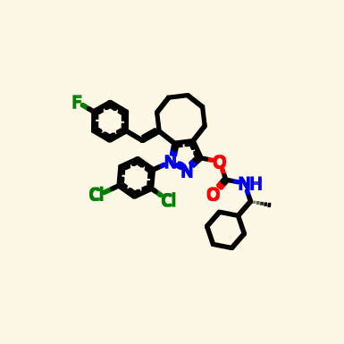 C[C@@H](NC(=O)Oc1nn(-c2ccc(Cl)cc2Cl)c2c1CCCCC/C2=C\c1ccc(F)cc1)C1CCCCC1